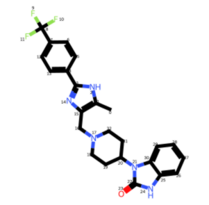 Cc1[nH]c(-c2ccc(C(F)(F)F)cc2)nc1CN1CCC(n2c(=O)[nH]c3ccccc32)CC1